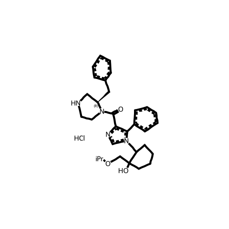 CC(C)OCC1(O)CCCCC1n1cnc(C(=O)N2CCNC[C@H]2Cc2ccccc2)c1-c1ccccc1.Cl